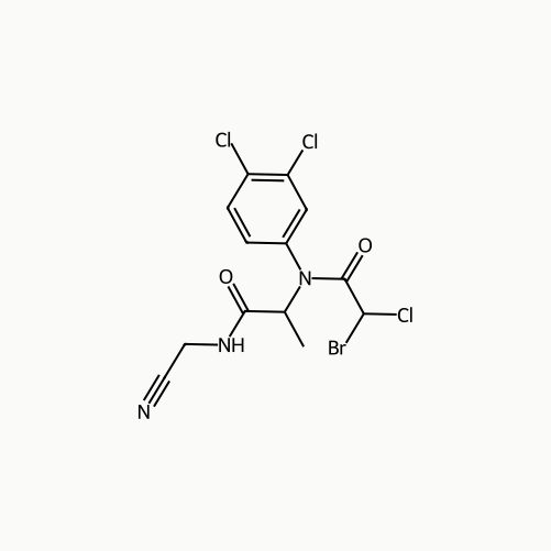 CC(C(=O)NCC#N)N(C(=O)C(Cl)Br)c1ccc(Cl)c(Cl)c1